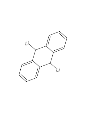 [Li][CH]1c2ccccc2[CH]([Li])c2ccccc21